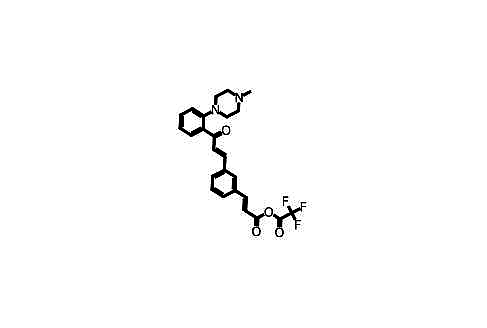 CN1CCN(c2ccccc2C(=O)/C=C/c2cccc(/C=C/C(=O)OC(=O)C(F)(F)F)c2)CC1